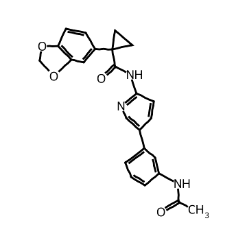 CC(=O)Nc1cccc(-c2ccc(NC(=O)C3(c4ccc5c(c4)OCO5)CC3)nc2)c1